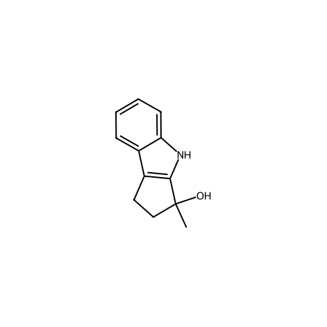 CC1(O)CCc2c1[nH]c1ccccc21